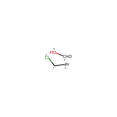 CC(C)CCl.O=CO